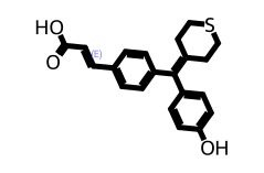 O=C(O)/C=C/c1ccc(C(=C2CCSCC2)c2ccc(O)cc2)cc1